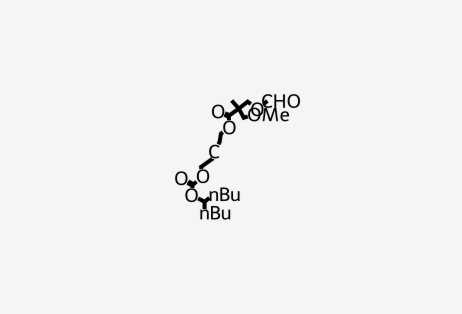 CCCCC(CCCC)OC(=O)OCCCCCOC(=O)C(C)(COC)COC=O